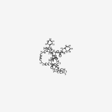 CC1(C)C2CC3OB([C@@H]4CCCCCCCCC[C@H](NCc5ccccc5)C(=O)N5C[C@H](OC(=O)N6CC7C=CC=CC7C6)C[C@H]5C(=O)N4)OC3(C)C1C2